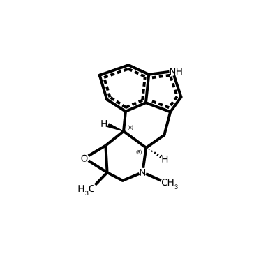 CN1CC2(C)OC2[C@@H]2c3cccc4[nH]cc(c34)C[C@H]21